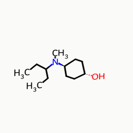 CCC(CC)N(C)[C@H]1CC[C@H](O)CC1